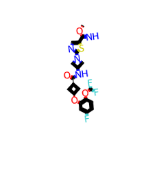 COC(=N)c1cnc(N2CC(NC(=O)[C@H]3C[C@H](Oc4cc(F)ccc4OC(F)F)C3)C2)s1